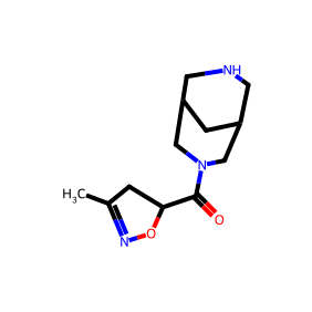 CC1=NOC(C(=O)N2CC3CNCC(C3)C2)C1